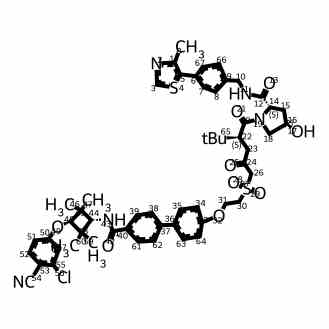 Cc1ncsc1-c1ccc(CNC(=O)[C@@H]2C[C@@H](O)CN2C(=O)[C@@H](CC(=O)CS(=O)(=O)CCOc2ccc(-c3ccc(C(=O)N[C@H]4C(C)(C)[C@H](Oc5ccc(C#N)c(Cl)c5)C4(C)C)cc3)cc2)C(C)(C)C)cc1